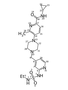 CCNS(=O)(=O)Nc1cc(CN2CCN(c3ccc(C(=O)NC4CC4)nc3C)CC2)ccn1